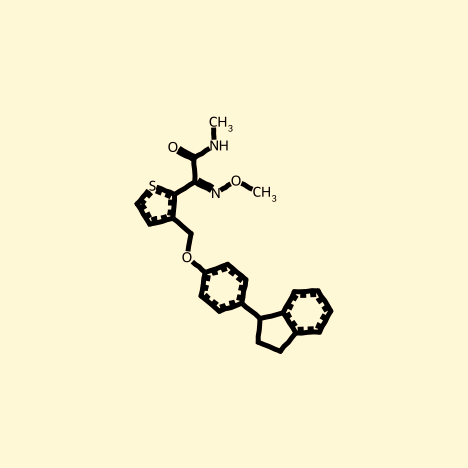 CNC(=O)C(=NOC)c1sccc1COc1ccc(C2CCc3ccccc32)cc1